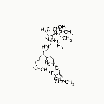 C=C(Cl)/C=C(/CO/C=C/C=C\C(=N/C)C(CCCC1CCC1C)CCNCC1=NC(CC)C(N(C)C(CC)C(=C)O)N1C)C(=C)F